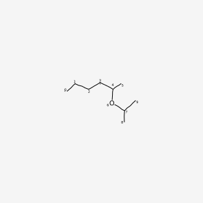 [CH2]CC[CH]C(C)OC(C)C